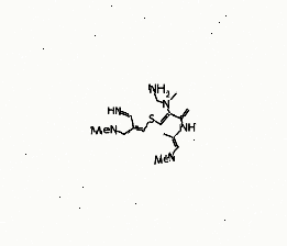 C=C(N/C(C)=C/NC)/C(=C/S/C=C(\C=N)CNC)N(C)CN